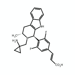 C[C@@H]1Cc2c([nH]c3ccccc23)[C@@H](c2c(F)cc(/C=C/C(=O)O)cc2F)N1CC1(N)CC1